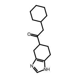 O=C(CC1CCCCC1)C1CCc2[nH]cnc2C1